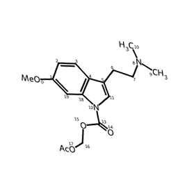 COc1ccc2c(CCN(C)C)cn(C(=O)OCOC(C)=O)c2c1